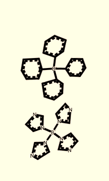 c1ccc([B-](c2ccccc2)(c2ccccc2)c2ccccc2)cc1.c1cn([B-](n2ccnc2)(n2ccnc2)n2ccnc2)cn1